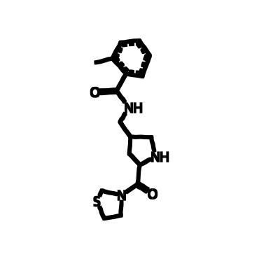 Cc1ccccc1C(=O)NCC1CNC(C(=O)N2CCSC2)C1